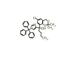 CCCCC(O)(c1cn(C(c2ccccc2)(c2ccccc2)c2ccccc2)cn1)c1cc(Cl)cc2c1OC(C)(C)OC2